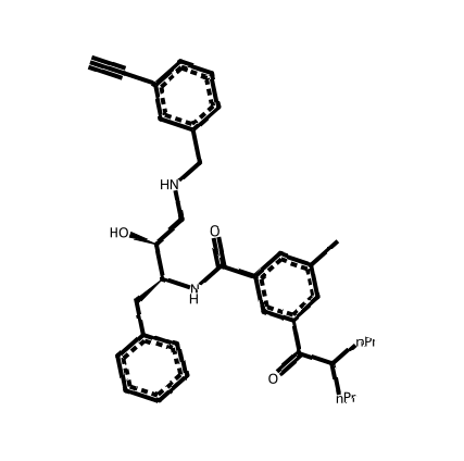 C#Cc1cccc(CNC[C@H](O)[C@H](Cc2ccccc2)NC(=O)c2cc(C)cc(C(=O)C(CCC)CCC)c2)c1